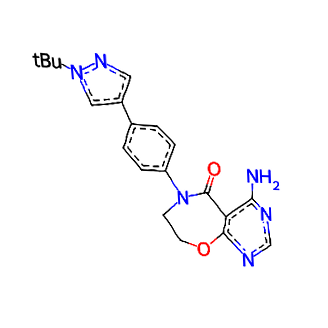 CC(C)(C)n1cc(-c2ccc(N3CCOc4ncnc(N)c4C3=O)cc2)cn1